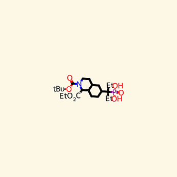 CCOC(=O)C1C2CCC(C(CC)(CC)P(=O)(O)O)CC2CCN1C(=O)OC(C)(C)C